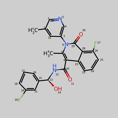 Cc1cncc(-n2c(C)c(C(=O)N[C@@H](O)c3cccc(F)c3)c3cccc(F)c3c2=O)c1